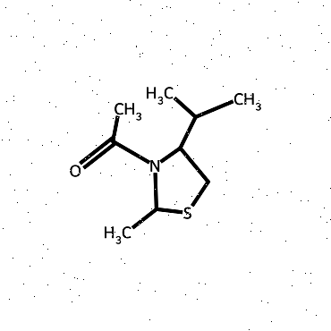 CC(=O)N1C(C)SCC1C(C)C